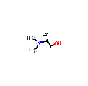 CN(C)CCO.[Zr]